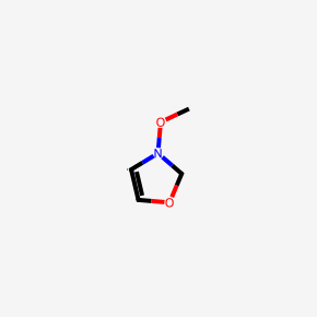 CON1[C]=COC1